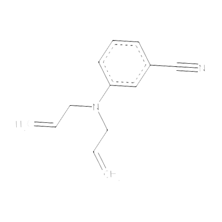 C=CCN(CC=C)c1cccc(C#N)c1